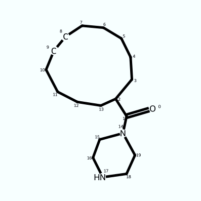 O=C(C1CCCCCCCCCCC1)N1CCNCC1